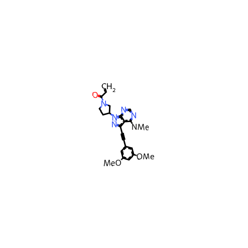 C=CC(=O)N1CCC(n2nc(C#Cc3cc(OC)cc(OC)c3)c3c(NC)ncnc32)C1